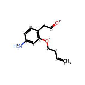 C=CCCOc1cc(N)ccc1CC=O